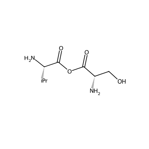 CC(C)[C@H](N)C(=O)OC(=O)[C@@H](N)CO